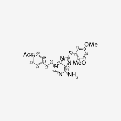 COc1ccc(OC)c(Sc2nc3c(N)ncn(CCc4ccc(C(C)=O)cc4)c-3n2)c1